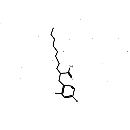 CCCCCCCCC(Cc1ccc(Br)cc1F)C(=O)O